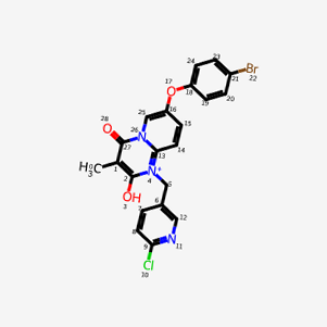 Cc1c(O)[n+](Cc2ccc(Cl)nc2)c2ccc(Oc3ccc(Br)cc3)cn2c1=O